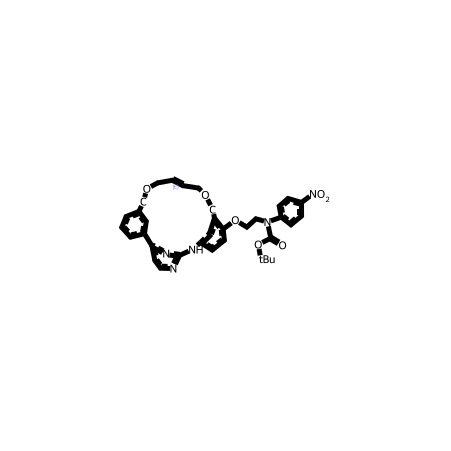 CC(C)(C)OC(=O)N(CCOc1ccc2cc1COC/C=C/COCc1cccc(c1)-c1ccnc(n1)N2)c1ccc([N+](=O)[O-])cc1